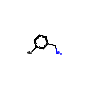 CC(C)(C)c1c[c]cc(CN)c1